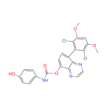 COc1cc(OC)c(Cl)c(-c2ccc(OC(=O)Nc3ccc(O)cc3)c3nccnc23)c1Cl